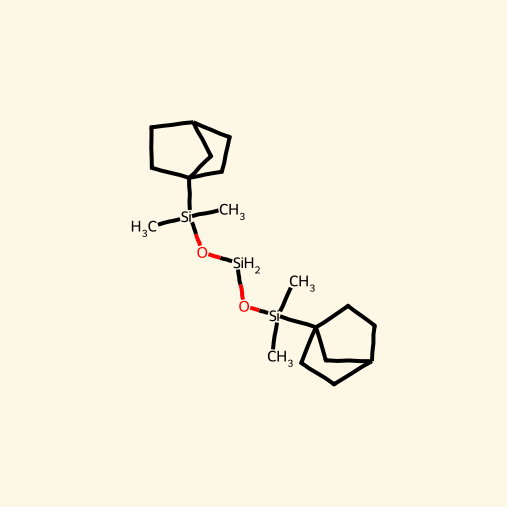 C[Si](C)(O[SiH2]O[Si](C)(C)C12CCC(CC1)C2)C12CCC(CC1)C2